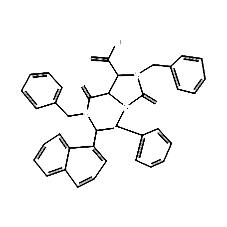 CC(c1cccc2ccccc12)N(Cc1ccccc1)C(=O)C1C(C(=O)O)N(Cc2ccccc2)C(=O)N1Cc1ccccc1